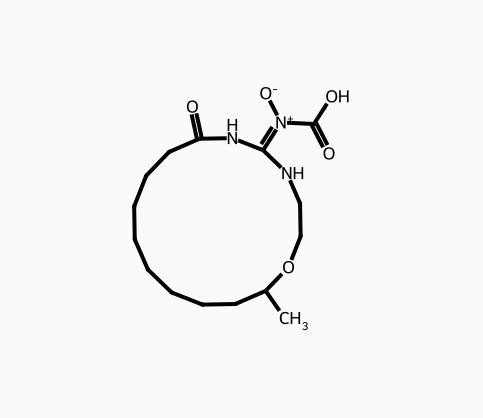 CC1CCCCCCCCC(=O)N/C(=[N+](\[O-])C(=O)O)NCCO1